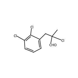 CC(Cl)(C=O)Cc1cccc(Cl)c1Cl